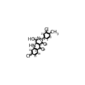 Cc1ccc(-n2nc(O)c3[nH]c4cc(Cl)ccc4c(=O)c3c2=O)cc1Cl